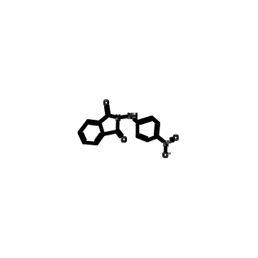 O=C1c2ccccc2C(=O)N1Nc1ccc([N+](=O)[O-])cc1